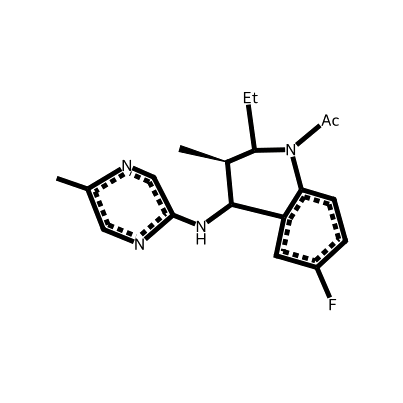 CCC1[C@H](C)C(Nc2cnc(C)cn2)c2cc(F)ccc2N1C(C)=O